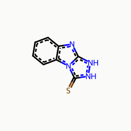 S=c1[nH][nH]c2nc3ccccc3n12